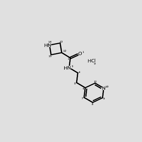 Cl.O=C(NCCc1cccnc1)C1CNC1